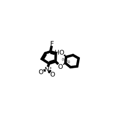 O=[N+]([O-])c1ccc(F)cc1O[C@H]1CCCC[C@@H]1O